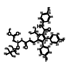 COC(=O)C[C@@H](CC(=O)C=Cc1c(-c2ccc(F)cc2)c(-c2ccc(F)cc2)c(C(=O)Nc2ccc(F)cc2)n1C(C)C)O[Si](C)(C)C(C)(C)C